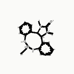 CN1C(=O)N(C)C2c3ccccc3OP(C)Oc3ccccc3C21